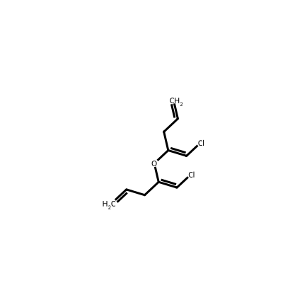 C=CCC(=CCl)OC(=CCl)CC=C